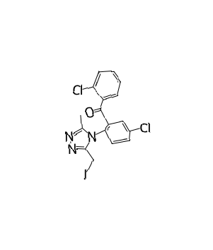 Cc1nnc(CI)n1-c1ccc(Cl)cc1C(=O)c1ccccc1Cl